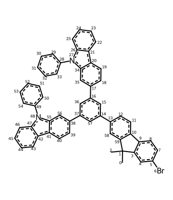 CC1(C)c2cc(Br)ccc2-c2ccc(-c3cc(-c4ccc5c6ccccc6n(-c6ccccc6)c5c4)cc(-c4ccc5c6ccccc6n(-c6ccccc6)c5c4)c3)cc21